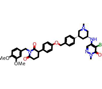 COc1ccc(CN2C(=O)CCC(c3ccc(OCc4ccc([C@H]5C[C@@H](Nc6cnn(C)c(=O)c6Br)CN(C)C5)cc4)cc3)C2=O)cc1OC